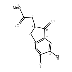 COC(=O)CN1Cc2cc(Cl)c(Cl)cc2C1=S